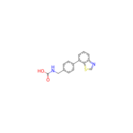 O=C(O)NCc1ccc(-c2cccc3ncsc23)cc1